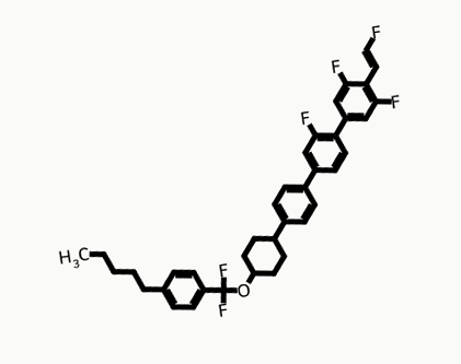 CCCCCc1ccc(C(F)(F)OC2CCC(c3ccc(-c4ccc(-c5cc(F)c(/C=C/F)c(F)c5)c(F)c4)cc3)CC2)cc1